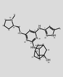 Cc1cc(Nc2cc(OC[C@H]3CCCN3C)nc(NC3C4CC5CC3C(O)(C5)C4)n2)n[nH]1